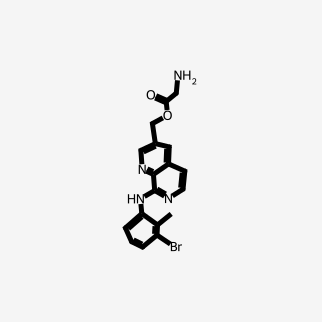 Cc1c(Br)cccc1Nc1nccc2cc(COC(=O)CN)cnc12